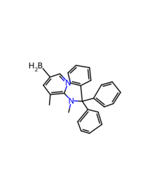 Bc1cnc(N(C)C(c2ccccc2)(c2ccccc2)c2ccccc2)c(C)c1